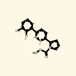 CC(C)(C)OC(=O)n1cccc1-c1ccc(-c2cccc(Cl)c2Cl)nn1